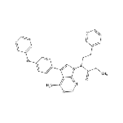 CCC(=O)N(CCc1cccnc1)n1cc(-c2ccc(Oc3ccccc3)cc2)c2c(N)ncnc21